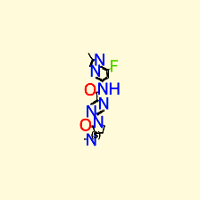 Cc1cn2cc(NC(=O)c3cnc(N4CC[C@H](N(C)C)C4=O)cn3)cc(F)c2n1